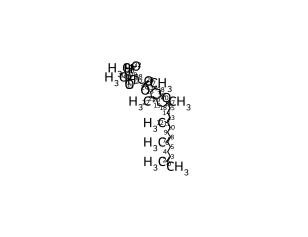 CC(C)=CCC/C(C)=C/CC/C(C)=C/CCC1(C)CCC2=C(C)C(OC(=O)CCC([PH](C)=O)[PH](C)=O)C(C)C=C2O1